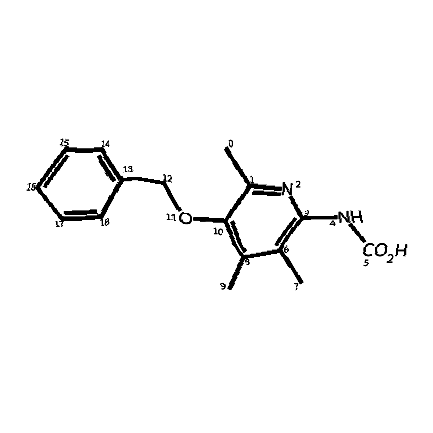 Cc1nc(NC(=O)O)c(C)c(C)c1OCc1ccccc1